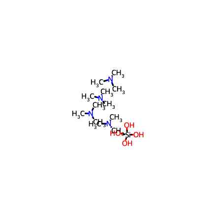 CN(C)C.CN(C)C.CN(C)C.CN(C)C.O[Si](O)(O)O